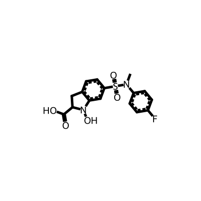 CN(c1ccc(F)cc1)S(=O)(=O)c1ccc2c(c1)N(O)C(C(=O)O)C2